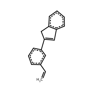 C=Cc1cccc(C2=Cc3ccccc3C2)c1